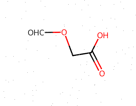 O=COCC(=O)O